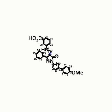 COc1ccc(-c2csc(N3N=C(c4ccccc4)/C(=N\Nc4cccc(C(=O)O)c4)C3=O)n2)cc1